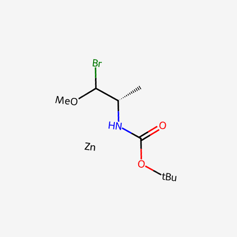 COC(Br)[C@H](C)NC(=O)OC(C)(C)C.[Zn]